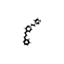 c1ccc(CCCC2CCN(CCn3ccnc3)CC2)cc1